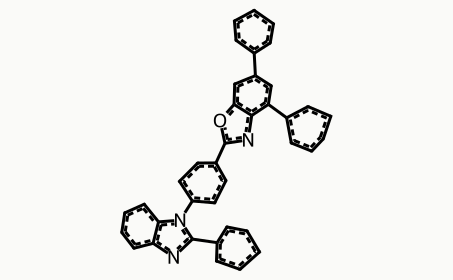 c1ccc(-c2cc(-c3ccccc3)c3nc(-c4ccc(-n5c(-c6ccccc6)nc6ccccc65)cc4)oc3c2)cc1